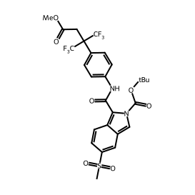 COC(=O)CC(c1ccc(NC(=O)c2c3ccc(S(C)(=O)=O)cc3cn2C(=O)OC(C)(C)C)cc1)(C(F)(F)F)C(F)(F)F